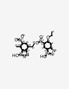 CCOc1cc2nnn(O)c2cc1[N+](=O)[O-].CCc1cc([N+](=O)[O-])c(C)c2c1nnn2O